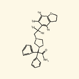 [2H]c1c([2H])c(C([2H])([2H])CN2CC[C@@H](C(C(N)=O)(c3ccccc3)c3ccccc3)C2)c([2H])c2c1OCC2